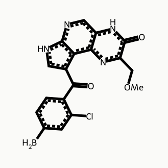 Bc1ccc(C(=O)c2c[nH]c3ncc4[nH]c(=O)c(COC)nc4c23)c(Cl)c1